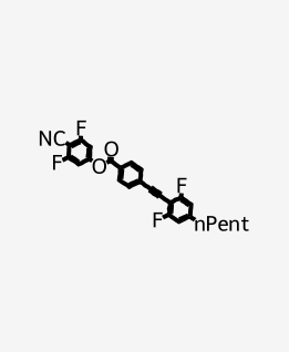 CCCCCc1cc(F)c(C#Cc2ccc(C(=O)Oc3cc(F)c(C#N)c(F)c3)cc2)c(F)c1